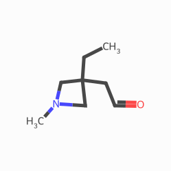 CCC1(CC=O)CN(C)C1